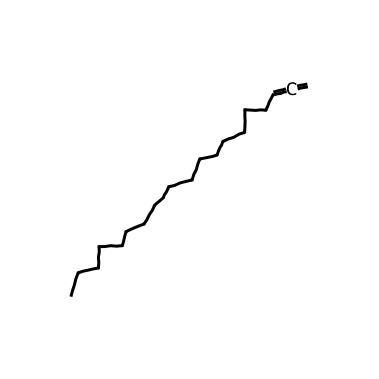 C=C=CCCCCCCCCCCCCCCCCC